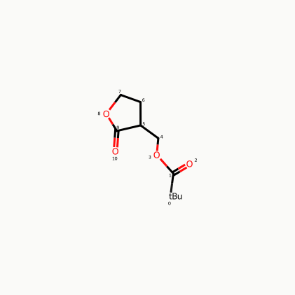 CC(C)(C)C(=O)OCC1CCOC1=O